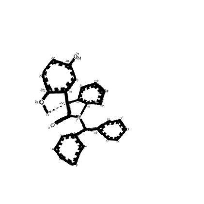 O=C1N(C(c2ccccc2)c2ccccc2)c2ccccc2[C@@]12COc1ccc(O)cc12